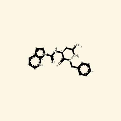 CC(C)C[C@H](NC(=O)n1ccc2cccnc21)C(=O)OCc1ccccc1